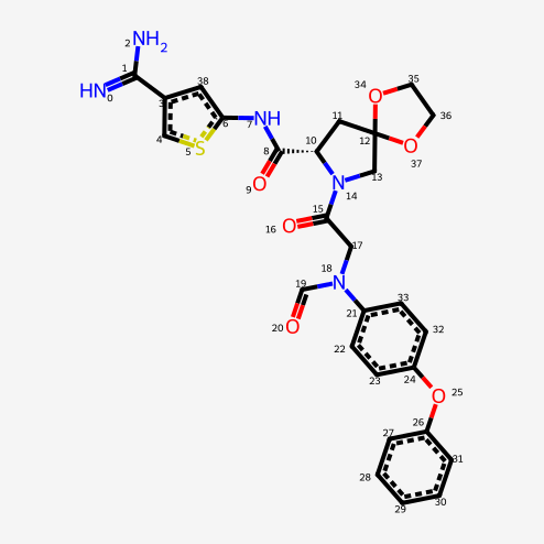 N=C(N)c1csc(NC(=O)[C@@H]2CC3(CN2C(=O)CN(C=O)c2ccc(Oc4ccccc4)cc2)OCCO3)c1